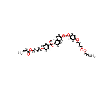 C=C=COOCCCCOc1ccc(OCOC2=CCc3cc(OC(=O)c4ccc(OCCCCOC(=O)C=C)cc4)ccc3C2)cc1